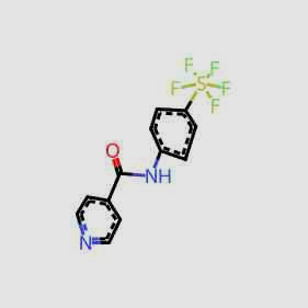 O=C(Nc1ccc(S(F)(F)(F)(F)F)cc1)c1ccncc1